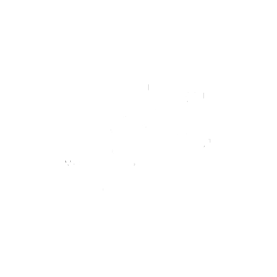 CC/C(=C(/OC(C)C)C(=O)O)c1ccc(S(=O)OC)cc1